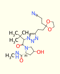 CNC(=O)[C@H]1CC(O)CN1C(=O)C(n1cc(CCC2(CCC#N)OCCO2)nn1)C(C)(C)C